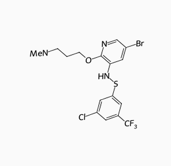 CNCCCOc1ncc(Br)cc1NSc1cc(Cl)cc(C(F)(F)F)c1